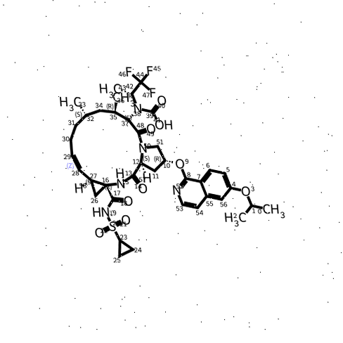 CC(C)Oc1ccc2c(O[C@@H]3C[C@H]4C(=O)N[C@]5(C(=O)NS(=O)(=O)C6CC6)C[C@H]5/C=C\CC[C@H](C)C[C@@H](C)[C@H](N(C(=O)O)[C@H](C)C(F)(F)F)C(=O)N4C3)nccc2c1